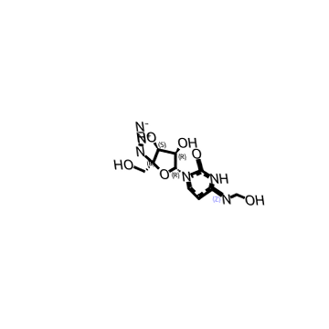 [N-]=[N+]=N[C@]1(CO)O[C@@H](n2cc/c(=N/CO)[nH]c2=O)[C@H](O)[C@@H]1O